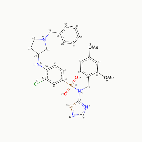 COc1ccc(CN(c2ncns2)S(=O)(=O)c2ccc(NC3CCN(Cc4ccccc4)C3)c(Cl)c2)c(OC)c1